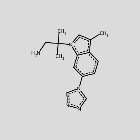 Cc1cn(C(C)(C)CN)c2cc(-n3cnnc3)ccc12